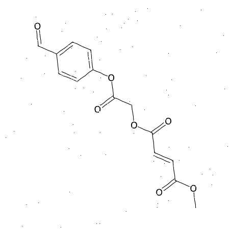 COC(=O)/C=C/C(=O)OCC(=O)Oc1ccc(C=O)cc1